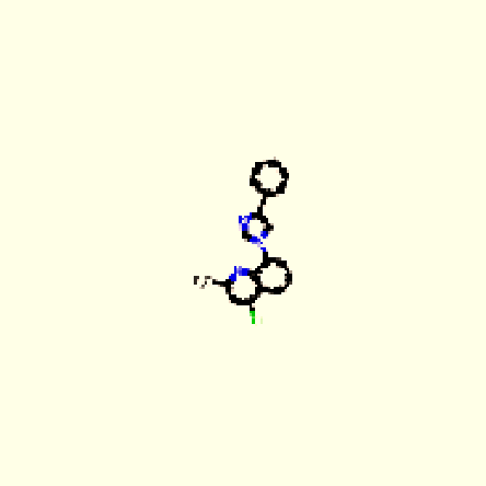 FC(F)(F)c1cc(Cl)c2cccc(-n3cnc(-c4ccccc4)c3)c2n1